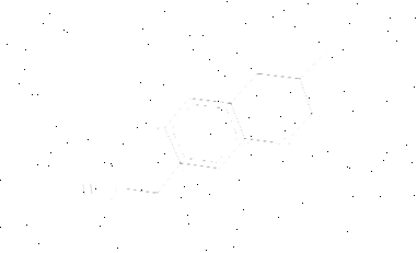 CC1COc2cc(CC(=O)O)ccc2C1